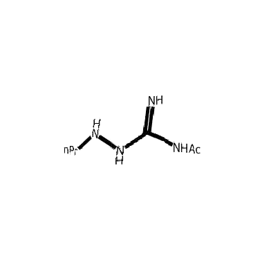 CCCNNC(=N)NC(C)=O